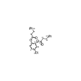 CCc1ccc(OC(=O)CCC(C)C)c(OC(=O)CCC(C)C)c1